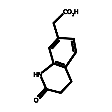 O=C(O)Cc1ccc2c(c1)NC(=O)CC2